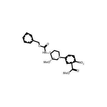 COC(=O)c1cc(N2CC[C@@H](NC(=O)OCc3ccccc3)[C@@H](OC)C2)ccc1[N+](=O)[O-]